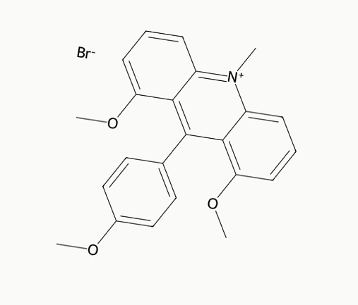 COc1ccc(-c2c3c(OC)cccc3[n+](C)c3cccc(OC)c23)cc1.[Br-]